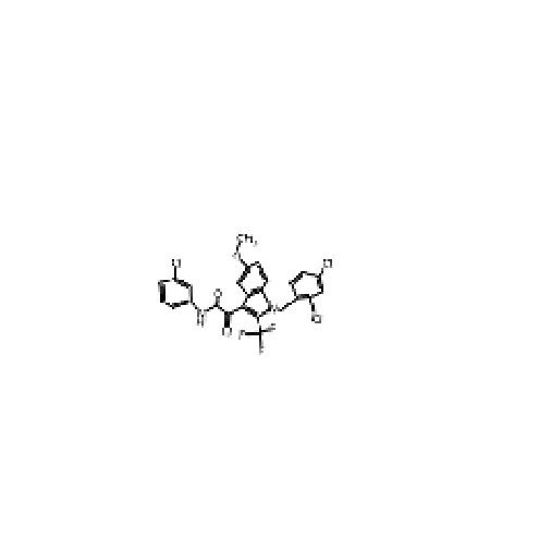 COc1ccc2c(c1)c(C(=O)C(=O)Nc1cccc(Cl)c1)c(C(F)(F)F)n2Cc1ccc(Cl)cc1Cl